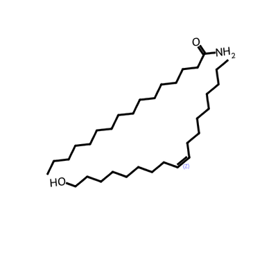 CCCCCCCC/C=C\CCCCCCCCO.CCCCCCCCCCCCCCCC(N)=O